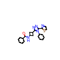 O=C(NC1CC(c2nnc(-c3nccs3)n2-c2ccccc2)C1)c1ccccc1